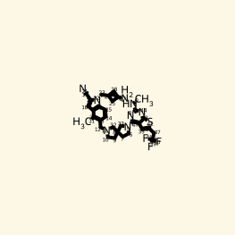 CNc1nc(N2CCC3(CCN(Cc4ccc5c(cc(C#N)n5CC56CC(N)(C5)C6)c4C)C3)C2)c2cc(CC(F)(F)F)sc2n1